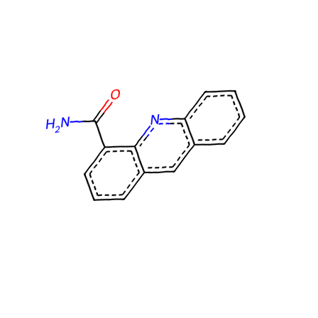 NC(=O)c1cccc2cc3ccccc3nc12